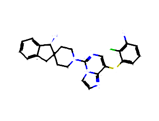 Nc1cccc(Sc2cnc(N3CCC4(CC3)Cc3ccccc3[C@H]4N)n3ccnc23)c1Cl